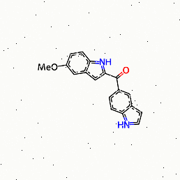 COc1ccc2[nH]c(C(=O)c3ccc4[nH]ccc4c3)cc2c1